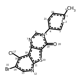 Cc1ccc(-n2cnc3c(sc4ncc(Br)c(Cl)c43)c2=O)cc1